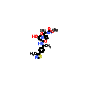 Cc1ncsc1-c1ccc([C@H](C)NC(=O)[C@@H]2C[C@@H](O)CN2C2(C(=O)[C@@H](NC(=O)OC(C)(C)C)C(C)(C)C)CCC2)cc1